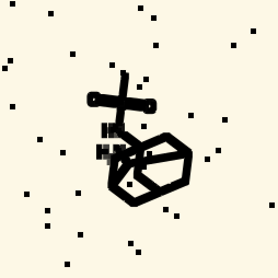 CS(=O)(=O)NC12CC3CC(C1)C(N)C(C3)C2